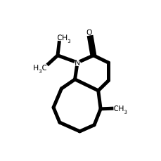 CC1CCCCCC2C1CCC(=O)N2C(C)C